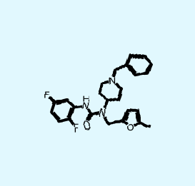 Cc1ccc(CN(C(=O)Nc2cc(F)ccc2F)C2CCN(Cc3ccccc3)CC2)o1